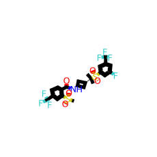 CC(C)([C@H]1C[C@@H](NC(=O)c2ccc(C(F)(F)F)cc2S(C)(=O)=O)C1)S(=O)(=O)c1cc(F)cc(C(F)(F)F)c1